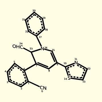 N#Cc1ccccc1C1=CC(c2nccs2)=CN(c2ccccc2)C1C=O